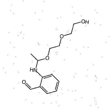 CC(Nc1ccccc1C=O)OCCOCCO